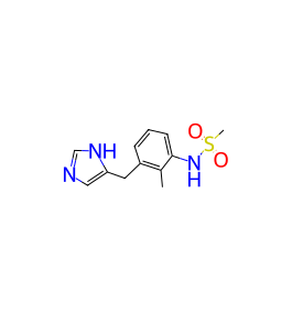 Cc1c(Cc2cnc[nH]2)cccc1NS(C)(=O)=O